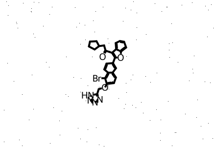 O=C(CC1CCCC1)c1c(-c2ccc3c(Br)c(OCc4nnn[nH]4)ccc3c2)oc2ccccc12